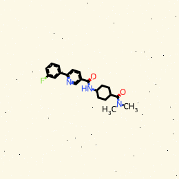 CN(C)C(=O)C1CCC(NC(=O)c2ccc(-c3cccc(F)c3)nc2)CC1